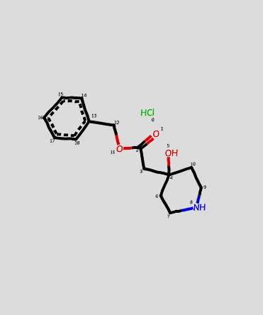 Cl.O=C(CC1(O)CCNCC1)OCc1ccccc1